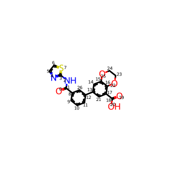 O=C(Nc1nccs1)c1cccc(-c2cc3c(c(C(=O)O)c2)OCCO3)c1